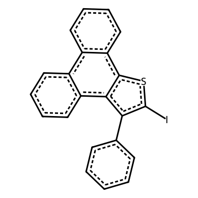 Ic1sc2c3ccccc3c3ccccc3c2c1-c1ccccc1